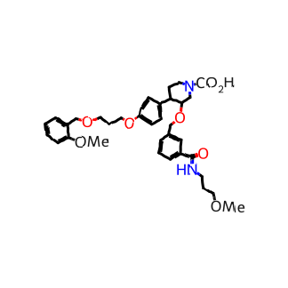 COCCCNC(=O)c1cccc(COC2CN(C(=O)O)CCC2c2ccc(OCCCOCc3ccccc3OC)cc2)c1